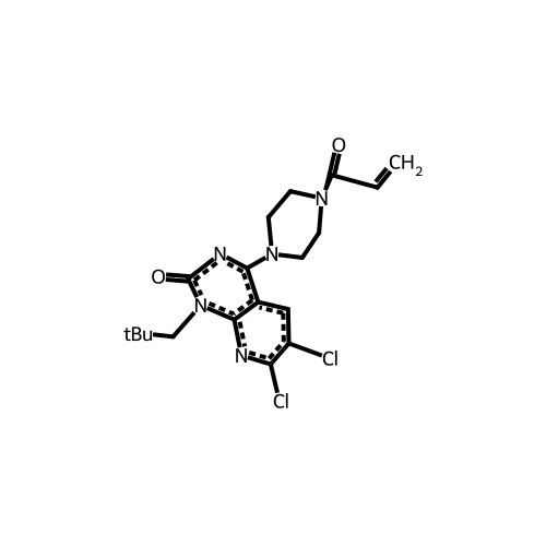 C=CC(=O)N1CCN(c2nc(=O)n(CC(C)(C)C)c3nc(Cl)c(Cl)cc23)CC1